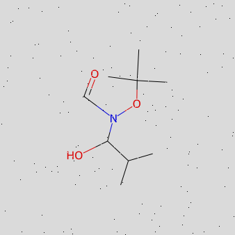 CC(C)C(O)N(C=O)OC(C)(C)C